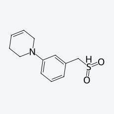 O=[SH](=O)Cc1cccc(N2CC=CCC2)c1